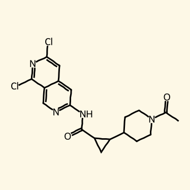 CC(=O)N1CCC(C2CC2C(=O)Nc2cc3cc(Cl)nc(Cl)c3cn2)CC1